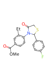 CCc1cc(C(=O)OC)ccc1N1C(=O)CSC1c1ccc(F)cc1